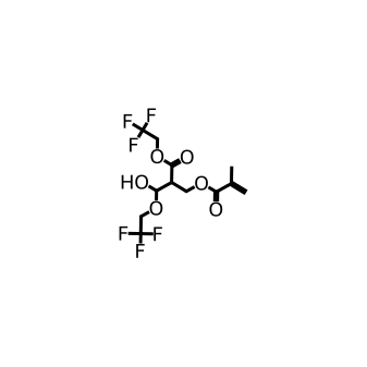 C=C(C)C(=O)OCC(C(=O)OCC(F)(F)F)C(O)OCC(F)(F)F